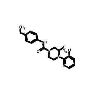 CCc1ccc(NC(=O)N2CCN(c3ncccc3Cl)C(C)C2)cc1